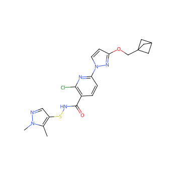 Cc1c(SNC(=O)c2ccc(-n3ccc(OCC45CC(C4)C5)n3)nc2Cl)cnn1C